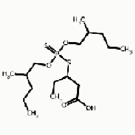 CCCC(C)COP(=S)(OCC(C)CCC)SC(CC)CC(=O)O